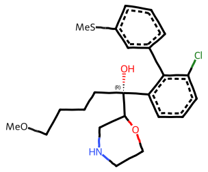 COCCCC[C@@](O)(c1cccc(Cl)c1-c1cccc(SC)c1)C1CNCCO1